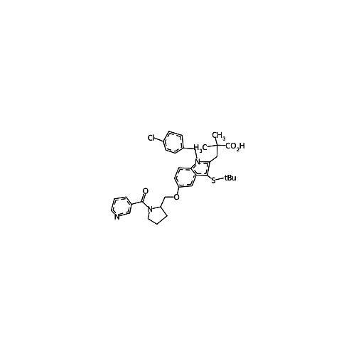 CC(C)(C)Sc1c(CC(C)(C)C(=O)O)n(Cc2ccc(Cl)cc2)c2ccc(OCC3CCCN3C(=O)c3cccnc3)cc12